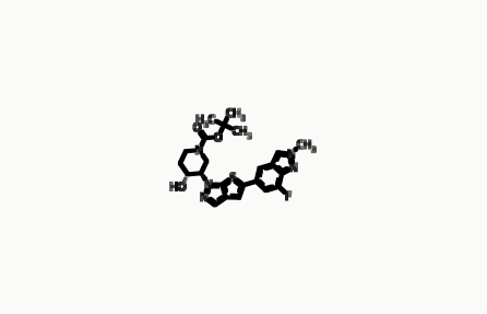 Cn1cc2cc(-c3cc4cnn([C@@H]5CN(C(=O)OC(C)(C)C)CC[C@H]5O)c4s3)cc(F)c2n1